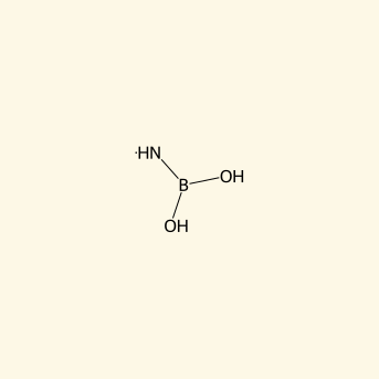 [NH]B(O)O